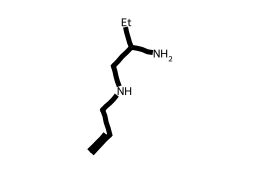 C=CCNCC(N)CC